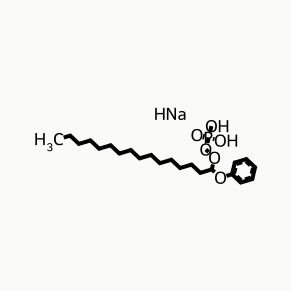 CCCCCCCCCCCCCCCC(OOP(=O)(O)O)Oc1ccccc1.[NaH]